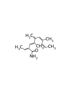 C=C(/C=C(C)\C=C/C)/C(C)=C/C(=C\C)C(N)=O